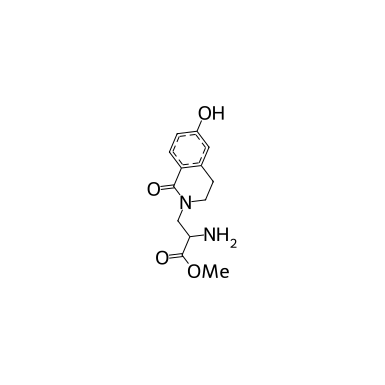 COC(=O)C(N)CN1CCc2cc(O)ccc2C1=O